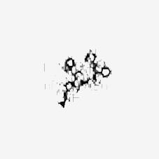 CCCC(NC(=O)C1CC(Oc2cccc(N)c2Cl)CN1C(=O)C(NC(=O)C(NC(=O)c1cnccn1)C1CCCCC1)C(C)(C)C)C(=O)C(=O)NC1CC1